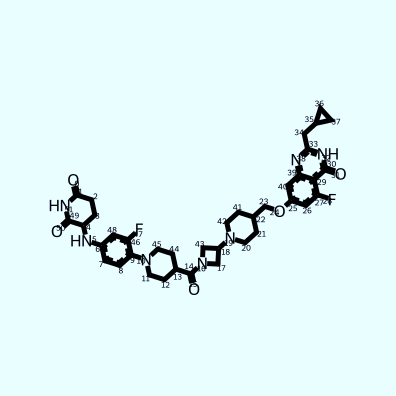 O=C1CCC(Nc2ccc(N3CCC(C(=O)N4CC(N5CCC(COc6cc(F)c7c(=O)[nH]c(CC8CC8)nc7c6)CC5)C4)CC3)c(F)c2)C(=O)N1